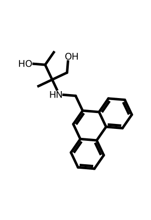 CC(O)C(C)(CO)NCc1cc2ccccc2c2ccccc12